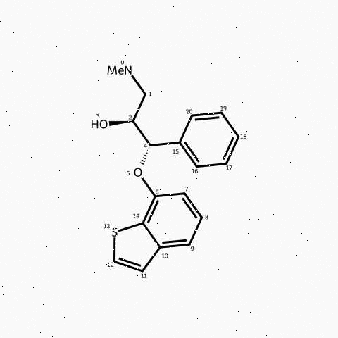 CNC[C@H](O)[C@@H](Oc1cccc2ccsc12)c1ccccc1